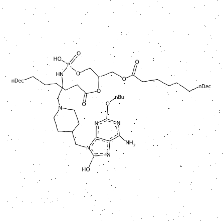 CCCCCCCCCCCCCCCC(=O)OCC(COP(=O)(O)NCCN1CCC(Cn2c(O)nc3c(N)nc(OCCCC)nc32)CC1)OC(=O)CCCCCCCCCCCCCCC